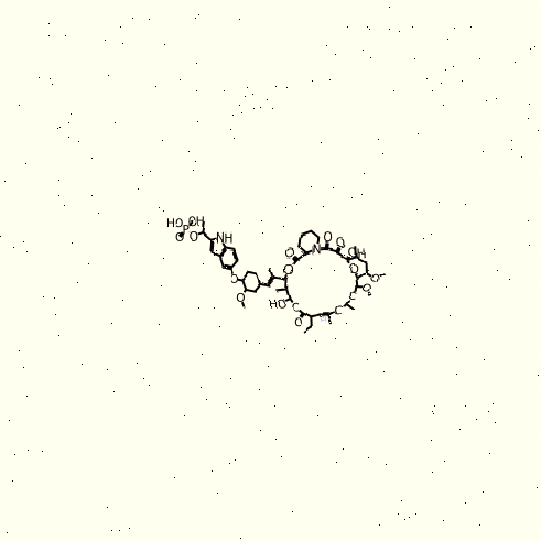 CCC1/C=C(\C)CC(C)CC(OC)C2OC(O)(C(=O)C(=O)N3CCCCC3C(=O)OC(C(C)=CC3CCC(Oc4ccc5[nH]c(C(C)OP(=O)(O)O)cc5c4)C(OC)C3)C(C)C(O)CC1=O)C(C)CC2OC